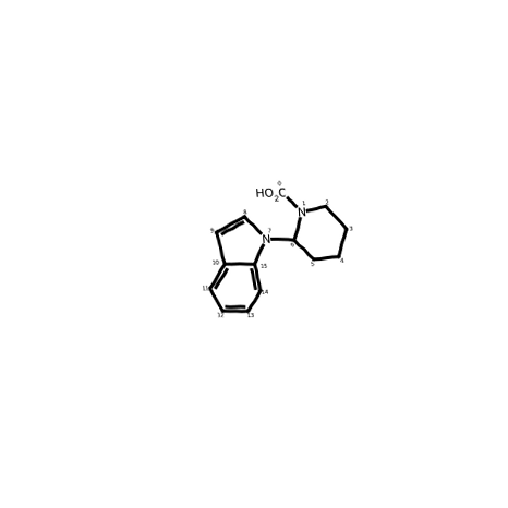 O=C(O)N1CCCCC1n1ccc2ccccc21